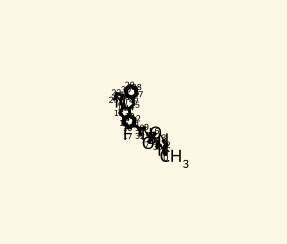 Cn1cnc(S(=O)(=O)N2CC(c3cc4c(cc3F)CC(N3CCC3)C4Cc3ccccc3)C2)c1